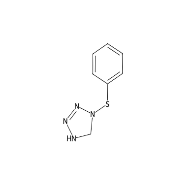 c1ccc(SN2CNN=N2)cc1